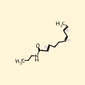 C/C=C/C=C\CC/C=C/C(=O)NCCC